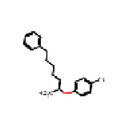 N#Cc1ccc(OC(CCCCCc2ccccc2)C(=O)O)cc1